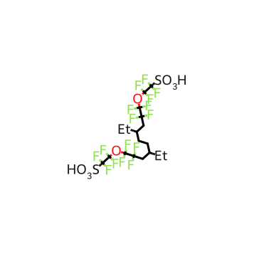 CCC(CCC(CC)CC(F)(F)C(F)(F)OC(F)(F)C(F)(F)S(=O)(=O)O)CC(F)(F)C(F)(F)OC(F)(F)C(F)(F)S(=O)(=O)O